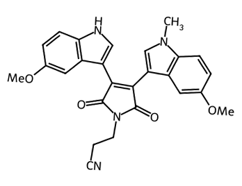 COc1ccc2[nH]cc(C3=C(c4cn(C)c5ccc(OC)cc45)C(=O)N(CCC#N)C3=O)c2c1